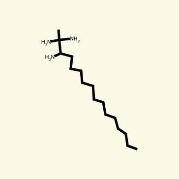 CCCCCCCCCCCCCC(N)C(C)(N)N